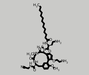 CCCCCCCCCCCCCC(=O)N[C@@H](CCN)C(=O)N(C)[C@@H]1C(=O)N[C@@H](C)C(=O)N[C@H](C(=O)NCC#N)Cc2ccc(OC)c(c2)-c2cc1ccc2OCCN